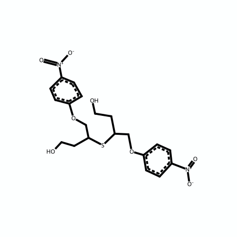 O=[N+]([O-])c1ccc(OCC(CCO)SC(CCO)COc2ccc([N+](=O)[O-])cc2)cc1